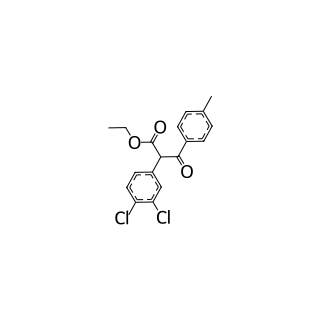 CCOC(=O)C(C(=O)c1ccc(C)cc1)c1ccc(Cl)c(Cl)c1